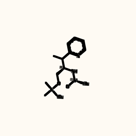 CC(c1ccccn1)[C@H](CO[Si](C)(C)C(C)(C)C)N[S@+]([O-])C(C)(C)C